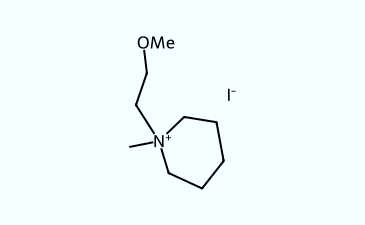 COCC[N+]1(C)CCCCC1.[I-]